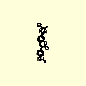 CCc1nn(-c2ccc3cc(-c4ccc(N)cc4)c(=O)oc3c2)nc1C